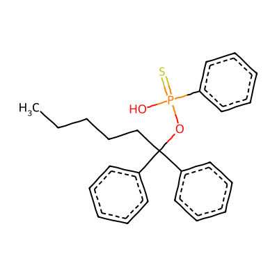 CCCCCC(OP(O)(=S)c1ccccc1)(c1ccccc1)c1ccccc1